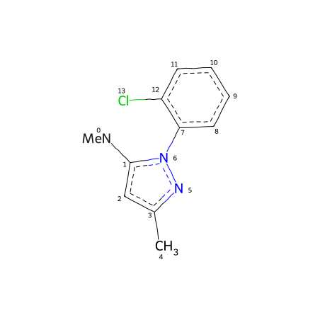 CNc1cc(C)nn1-c1ccccc1Cl